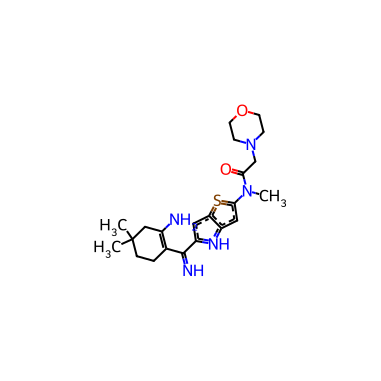 CN(C(=O)CN1CCOCC1)c1cc2[nH]c(C(=N)C3=C(N)CC(C)(C)CC3)cc2s1